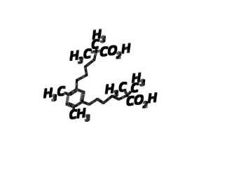 Cc1cc(C)c(CCCCC(C)(C)C(=O)O)cc1CCCCCC(C)(C)C(=O)O